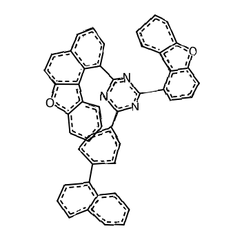 c1ccc2c(-c3ccc(-c4nc(-c5cccc6oc7ccccc7c56)nc(-c5cccc6ccc7oc8ccccc8c7c56)n4)cc3)cccc2c1